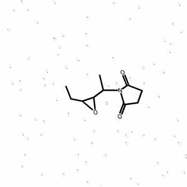 CCC1OC1C(C)N1C(=O)CCC1=O